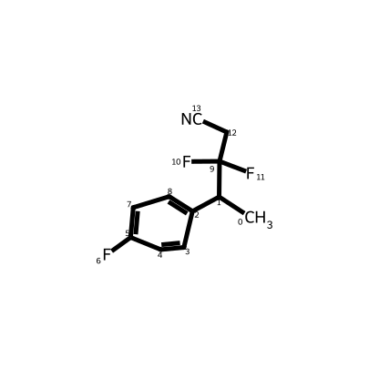 CC(c1ccc(F)cc1)C(F)(F)CC#N